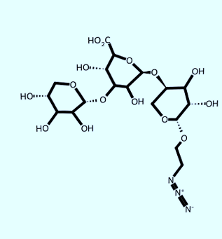 [N-]=[N+]=NCCO[C@@H]1OC[C@@H](O[C@@H]2OC(C(=O)O)[C@@H](O)C(O[C@H]3OC[C@@H](O)C(O)C3O)C2O)C(O)[C@@H]1O